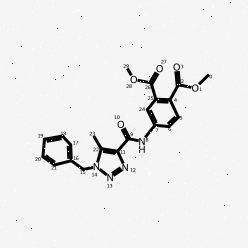 COC(=O)c1ccc(NC(=O)c2nnn(Cc3ccccc3)c2C)cc1C(=O)OC